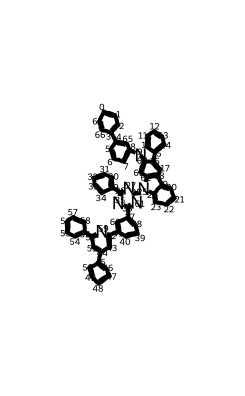 c1ccc(-c2cccc(-n3c4ccccc4c4cc5c6ccccc6n(-c6nc(-c7ccccc7)nc(-c7cccc(-c8cc(-c9ccccc9)cc(-c9ccccc9)n8)c7)n6)c5cc43)c2)cc1